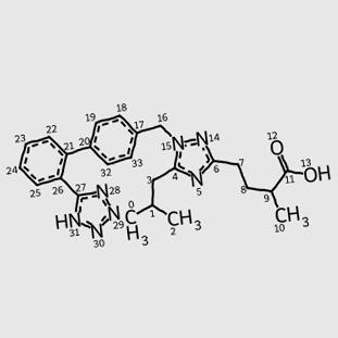 CC(C)Cc1nc(CCC(C)C(=O)O)nn1Cc1ccc(-c2ccccc2-c2nnn[nH]2)cc1